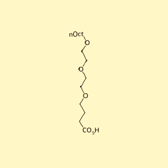 CCCCCCCCOCCOCCOCCCC(=O)O